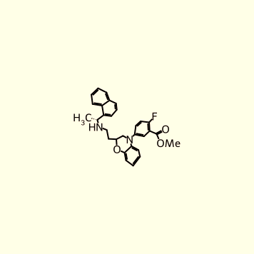 COC(=O)c1cc(N2CC(CCN[C@H](C)c3cccc4ccccc34)Oc3ccccc32)ccc1F